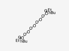 CCCCC(CC)C(=O)OCCOCCOCCOCCOCCOCCOCCOCCOC(=O)C(CC)CCCC